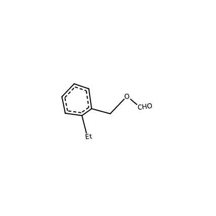 CCc1ccccc1COC=O